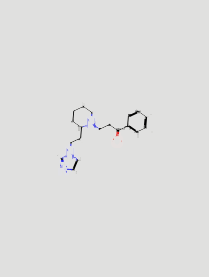 O=C(CCN1CCCCC1CCn1ccnc1)c1ccccc1